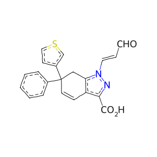 O=CC=Cn1nc(C(=O)O)c2c1CC(c1ccccc1)(c1ccsc1)C=C2